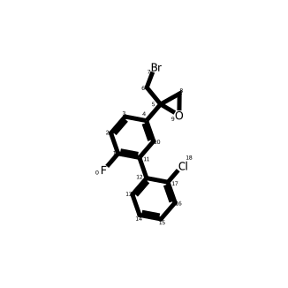 Fc1ccc(C2(CBr)CO2)cc1-c1ccccc1Cl